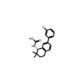 CC1(C)CCc2ccc(-c3cccc(F)c3)cc2[C@H]1NC(=O)O